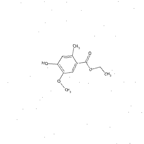 CCOC(=O)c1cc(OC)c(O)cc1C